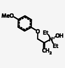 C=C(COc1ccc(OC)cc1)[N+](O)(CC)CC